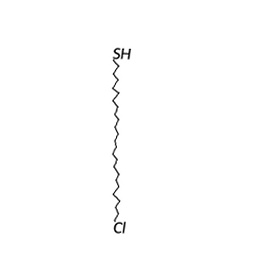 SCCCCCCCCCCCCCCCCCCCCCCCCCCl